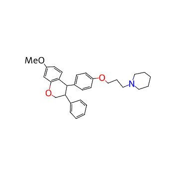 COc1ccc2c(c1)OCC(c1ccccc1)C2c1ccc(OCCCN2CCCCC2)cc1